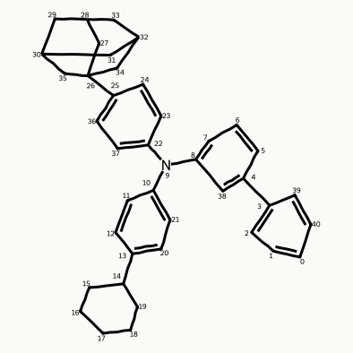 c1ccc(-c2cccc(N(c3ccc(C4CCCCC4)cc3)c3ccc(C45CC6CC(CC(C6)C4)C5)cc3)c2)cc1